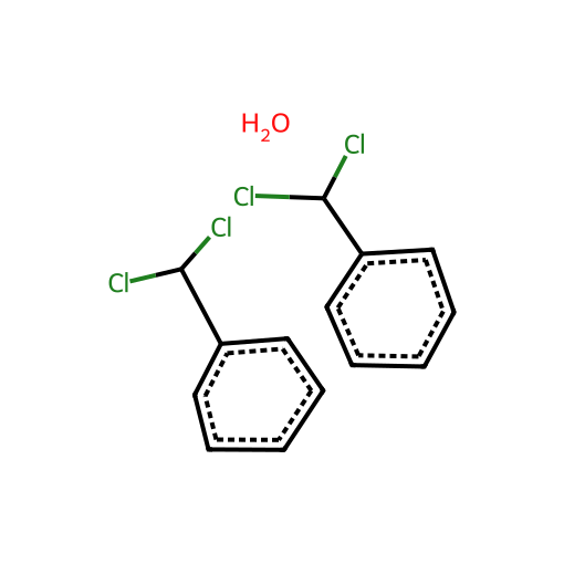 ClC(Cl)c1ccccc1.ClC(Cl)c1ccccc1.O